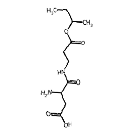 CCC(C)OC(=O)CCNC(=O)C(N)CC(=O)O